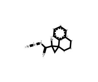 [N-]=[N+]=NC(=O)C1(Br)CC12CCCc1ccccc12